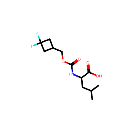 CC(C)CC(NC(=O)OCC1CC(F)(F)C1)C(=O)O